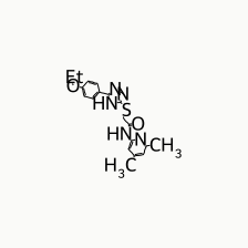 CCOc1ccc(-c2nnc(SCC(=O)Nc3cc(C)cc(C)n3)[nH]2)cc1